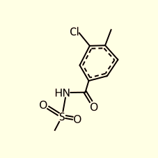 Cc1ccc(C(=O)NS(C)(=O)=O)cc1Cl